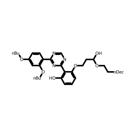 CCCCCCCCCCCCOC(O)CCOc1cccc(O)c1-c1ncnc(-c2ccc(OCCCC)cc2OCCCC)n1